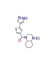 CCN1CCN(C(=O)c2csc(-c3cn[nH]c3)c2)C2CCCCC21